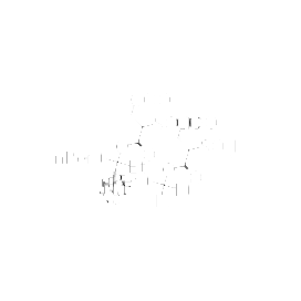 CCCCCC(CC)(CC)OC(=O)C(CC(=O)[O-])S(=O)(=O)O.CCCCCC(CC)(CC)OC(=O)C(CC(=O)[O-])S(=O)(=O)O.[Na+].[Na+]